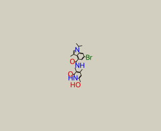 Cc1cc(CO)[nH]c(=O)c1CNC(=O)c1cc(Br)cc2c1c(C)cn2C(C)C